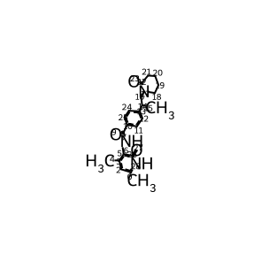 Cc1cc(C)c(CNC(=O)c2ccc(C(C)CN3CCCCC3=O)cc2)c(=O)[nH]1